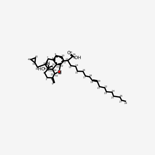 C=C1CC[C@@]2(O)C3Cc4ccc(C(CCCCCCC=CCCCCCCCC)C(=O)O)c5c4[C@@]2(CCN3CC2CC2)[C@H]1O5